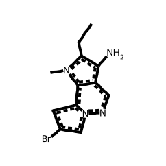 CCc1c(N)c2cnn3cc(Br)cc3c2n1C